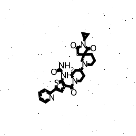 NC(=O)Nc1sc(-c2ccccn2)cc1C(=O)N1CCC(N2CCCC3(CC(=O)N(C4CC4)C3=O)C2)CC1